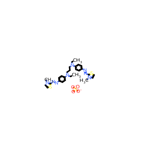 CCN(CCCN(CC)c1ccc(N=Nc2scc[n+]2C)cc1)c1ccc(N=Nc2scc[n+]2C)cc1.O=S(=O)([O-])[O-]